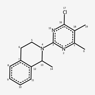 Cc1nc(N2CCc3ccccc3C2C)nc(Cl)c1C